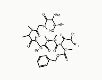 CCC(N)C(=O)N(C(=O)[C@H](C)N(C)C(=O)[C@@H](NC(=O)C(C)N(C)C(=O)CN(C)C(=O)C(NC)[C@H](O)C(C)C)C(C)C)[C@@H](C)C(=O)OCc1ccccc1